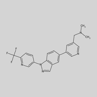 CN(C)Cc1cncc(-c2ccc3c(cnn3-c3ccc(C(F)(F)F)nc3)c2)c1